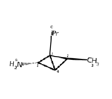 CC(C)C12C(C)C1[C@@H]2N